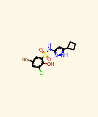 O=S(=O)(Nc1cc(C2CCC2)[nH]n1)c1cc(Br)cc(Cl)c1O